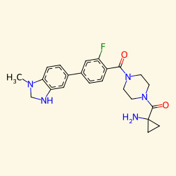 CN1CNc2cc(-c3ccc(C(=O)N4CCN(C(=O)C5(N)CC5)CC4)c(F)c3)ccc21